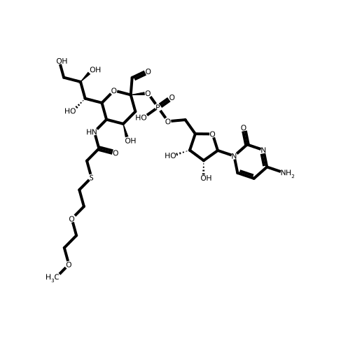 COCCOCCSCC(=O)NC1C([C@H](O)[C@H](O)CO)O[C@@](C=O)(OP(=O)(O)OCC2OC(n3ccc(N)nc3=O)[C@H](O)[C@@H]2O)C[C@H]1O